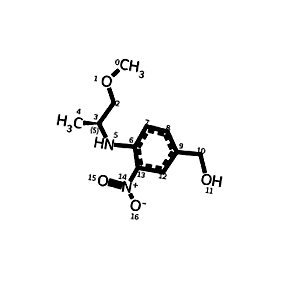 COC[C@H](C)Nc1ccc(CO)cc1[N+](=O)[O-]